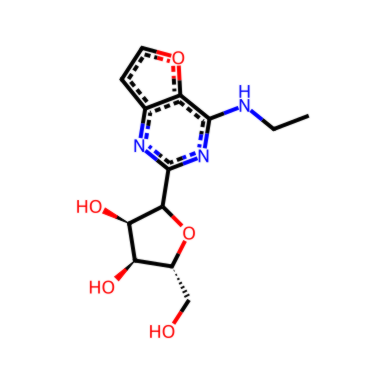 CCNc1nc(C2O[C@H](CO)[C@@H](O)[C@H]2O)nc2ccoc12